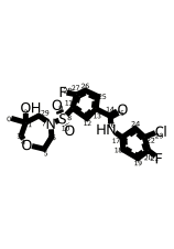 CC1(O)COCCN(S(=O)(=O)c2cc(C(=O)Nc3ccc(F)c(Cl)c3)ccc2F)C1